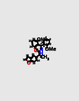 COc1ccccc1C(NC(=O)[C@H](C)c1ccc2occc2c1)c1ccccc1OC